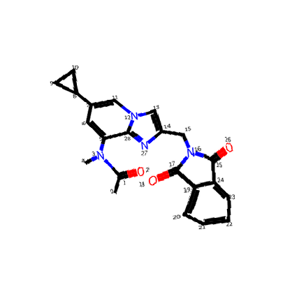 CC(=O)N(C)c1cc(C2CC2)cn2cc(CN3C(=O)c4ccccc4C3=O)nc12